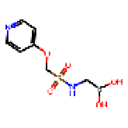 O=S(=O)(COc1ccncc1)NCB(O)O